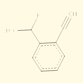 C#Cc1ccccc1C(C)F